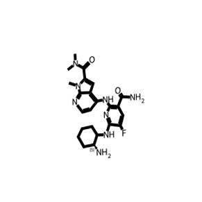 CN(C)C(=O)c1cc2c(Nc3nc(NC4CCCC[C@@H]4N)c(F)cc3C(N)=O)ccnc2n1C